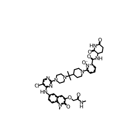 CNC(=O)COc1cc2cc(Nc3nc(N4CCN(C(C)(C)C5CCN(c6cccc(C(=O)NC7CCC(=O)NC7=O)[n+]6[O-])CC5)CC4)ncc3Cl)ccc2n(C)c1=O